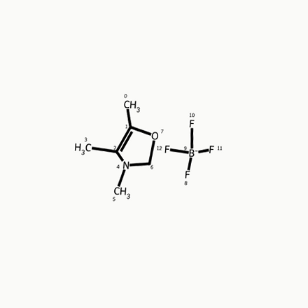 CC1=C(C)N(C)CO1.F[B-](F)(F)F